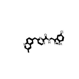 Cc1cnc2ccc(Cc3ccnc(C(=O)NCc4n[nH]c5ccc(Cl)cc45)n3)cc2c1